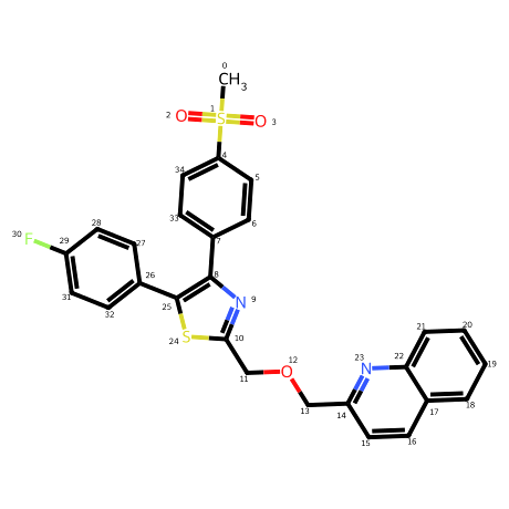 CS(=O)(=O)c1ccc(-c2nc(COCc3ccc4ccccc4n3)sc2-c2ccc(F)cc2)cc1